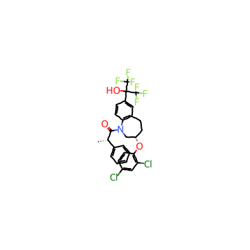 C[C@H](C(=O)N1C[C@@H](Oc2ccc(Cl)cc2Cl)CCc2cc(C(O)(C(F)(F)F)C(F)(F)F)ccc21)c1ccccc1